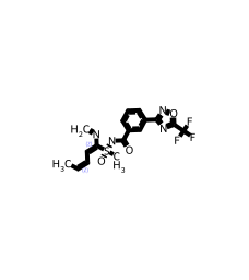 C=N/C(=C/C=C\C)S(C)(=O)=NC(=O)c1cccc(-c2noc(C(F)(F)F)n2)c1